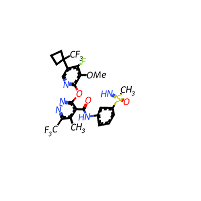 COc1c(Oc2nnc(C(F)(F)F)c(C)c2C(=O)Nc2cccc(S(C)(=N)=O)c2)ncc(C2(C(F)(F)F)CCC2)c1F